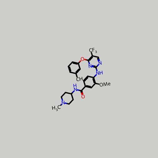 COc1cc(C(=O)NC2CCN(C)CC2)ccc1Nc1ncc(C(F)(F)F)c(Oc2cccc(C)c2)n1